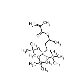 C=C(C)C(=O)OC(C)CC[Si](O[Si](C)(C)C)(O[Si](C)(C)C)O[Si](C)(C)C